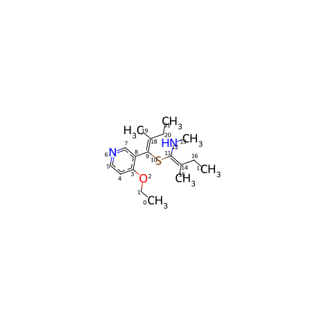 CCOc1ccncc1/C(S/C(NC)=C(\C)CC)=C(\C)CC